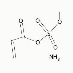 C=CC(=O)OS(=O)(=O)OC.N